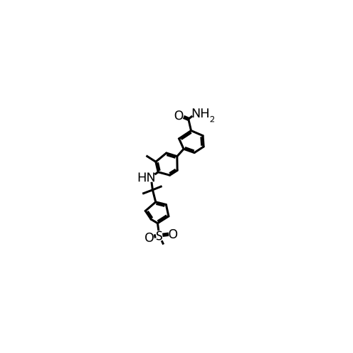 Cc1cc(-c2cccc(C(N)=O)c2)ccc1NC(C)(C)c1ccc(S(C)(=O)=O)cc1